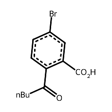 CCCCC(=O)c1ccc(Br)cc1C(=O)O